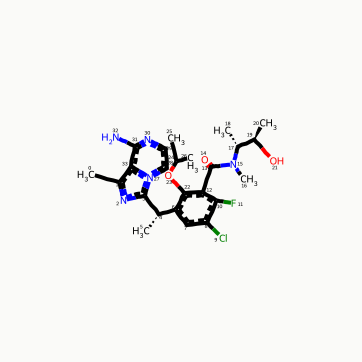 Cc1nc([C@@H](C)c2cc(Cl)c(F)c(C(=O)N(C)[C@H](C)[C@@H](C)O)c2OC(C)C)n2ccnc(N)c12